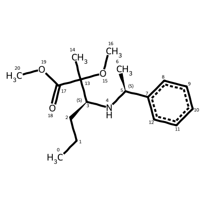 CCC[C@H](N[C@@H](C)c1ccccc1)C(C)(OC)C(=O)OC